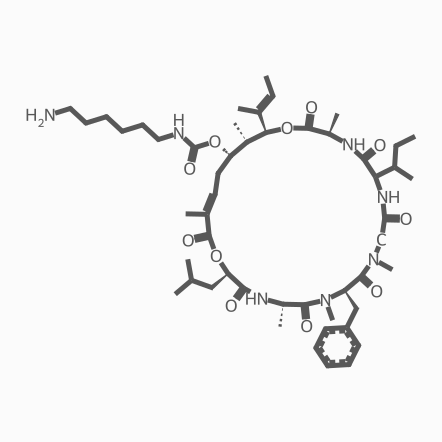 C/C=C(\C)[C@H]1OC(=O)[C@@H](C)NC(=O)C(C(C)CC)NC(=O)CN(C)C(=O)[C@@H](Cc2ccccc2)N(C)C(=O)[C@H](C)NC(=O)[C@@H](CC(C)C)OC(=O)/C(C)=C/C[C@H](OC(=O)NCCCCCCN)[C@@H]1C